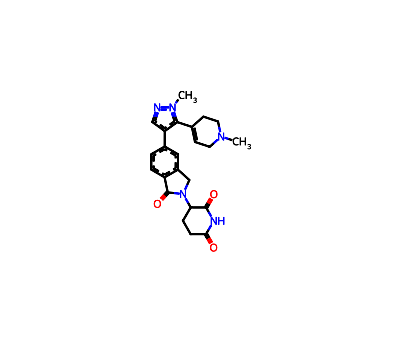 CN1CC=C(c2c(-c3ccc4c(c3)CN(C3CCC(=O)NC3=O)C4=O)cnn2C)CC1